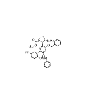 CNC1CCN(C(=O)OC(C)(C)C)C1c1cc(-c2cc(C(C)C)ccc2OC)c(OCc2ccccc2)cc1OCc1ccccc1